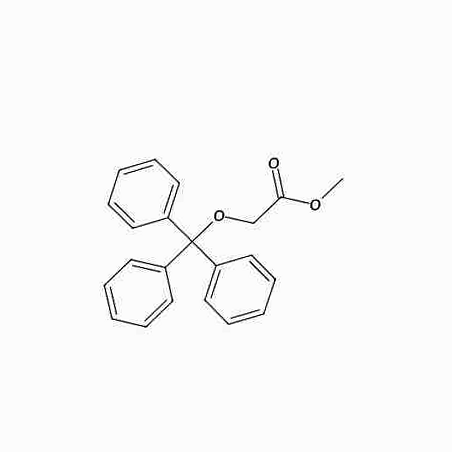 COC(=O)COC(c1ccccc1)(c1ccccc1)c1ccccc1